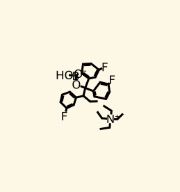 CCC(c1cccc(F)c1)C(OB([O-])O)(c1cccc(F)c1)c1cccc(F)c1.CC[N+](CC)(CC)CC